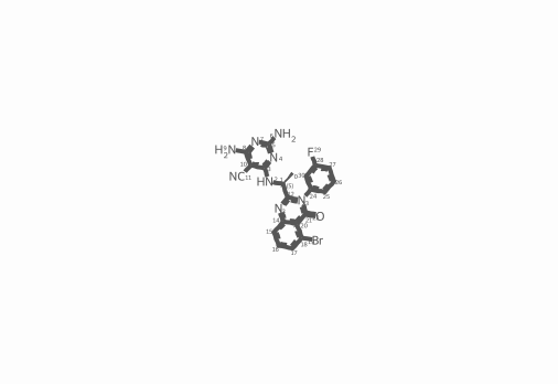 C[C@H](Nc1nc(N)nc(N)c1C#N)c1nc2cccc(Br)c2c(=O)n1-c1cccc(F)c1